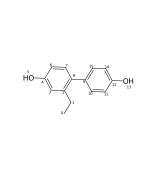 CCc1cc(O)ccc1-c1ccc(O)cc1